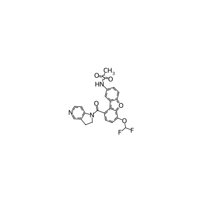 CS(=O)(=O)Nc1ccc2oc3c(OC(F)F)ccc(C(=O)N4CCc5cnccc54)c3c2c1